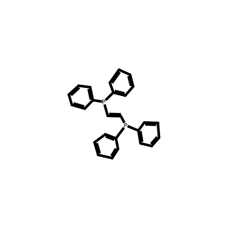 C(=CP(c1ccccc1)c1ccccc1)P(c1ccccc1)c1ccccc1